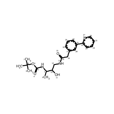 CC(NC(=O)OC(C)(C)C)C(O)CNC(=O)Cc1cccc(-c2ccccn2)c1